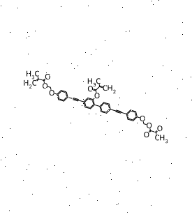 C=C(C)C(=O)OCOc1ccc(C#Cc2ccc(-c3ccc(C#Cc4ccc(OCOC(=O)C(C)=O)cc4)cc3)c(OC(=O)C(=C)C)c2)cc1